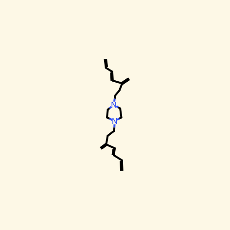 C=CC=CC(=C)CCN1CCN(CCC(=C)C=CC=C)CC1